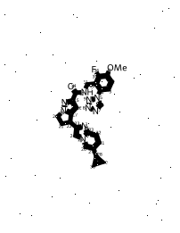 COc1ccc(-n2cnnn2)c(CNC(=O)c2cc3n(n2)CCC3c2cn3cc(C4CC4)ccc3n2)c1F